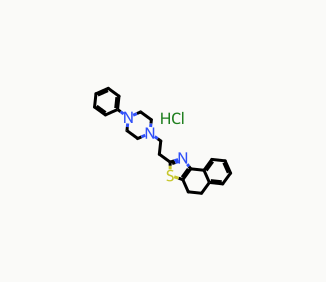 Cl.c1ccc(N2CCN(CCc3nc4c(s3)CCc3ccccc3-4)CC2)cc1